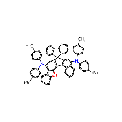 Cc1ccc(N(c2ccc(C(C)(C)C)cc2)c2cc3c(c4ccccc24)-c2c(cc(N(c4ccc(C)cc4)c4ccc(C(C)(C)C)cc4)c4c2oc2ccccc24)C3(c2ccccc2)c2ccccc2)cc1